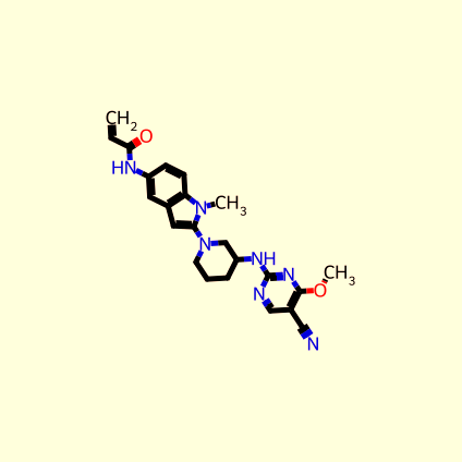 C=CC(=O)Nc1ccc2c(c1)cc(N1CCCC(Nc3ncc(C#N)c(OC)n3)C1)n2C